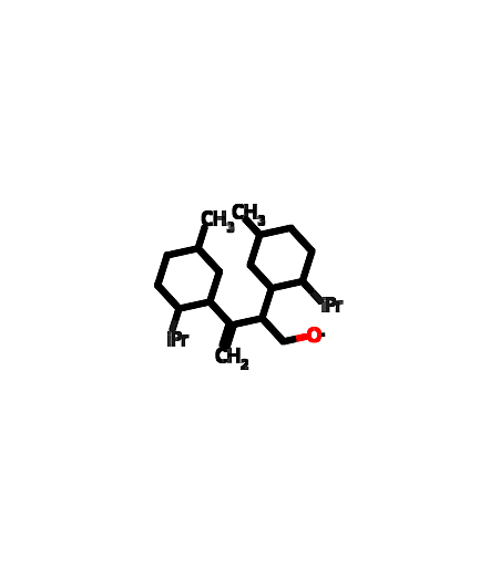 C=C(C1CC(C)CCC1C(C)C)C(C[O])C1CC(C)CCC1C(C)C